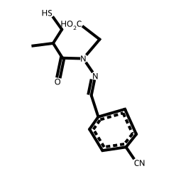 CC(CS)C(=O)N(CC(=O)O)N=Cc1ccc(C#N)cc1